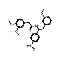 COc1cccc(CC(NC(=O)Cc2ccc(OC)c(OC)c2)c2ccc([N+](=O)[O-])cc2)c1